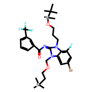 CC(C)(C)[Si](C)(C)OCCCn1c(=NC(=O)c2cccc(C(F)(F)F)c2)n(COCC[Si](C)(C)C)c2cc(Br)cc(F)c21